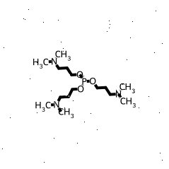 CN(C)CCCOP(OCCCN(C)C)OCCCN(C)C